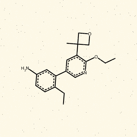 CCOc1ncc(-c2cc(N)ccc2CC)cc1C1(C)COC1